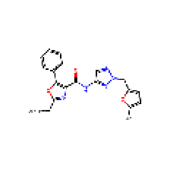 COCc1nc(C(=O)Nc2cnn(Cc3ccc(C(C)=O)o3)n2)c(-c2ccccc2)o1